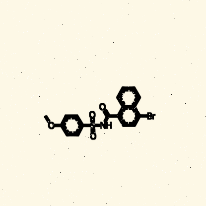 COc1ccc(S(=O)(=O)NC(=O)c2ccc(Br)c3ccccc23)cc1